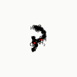 NC(=O)c1ccc(OCc2ccccn2)c(F)c1-c1cc(C(CNC2CCC(NC(=O)CN3CCC(CN4CCN(c5ccc6c(c5)C(=O)N(C5CCC(=O)NC5=O)C6=O)CC4)CC3)CC2)c2ccccc2)ccc1Cl